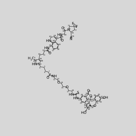 CN1NN(CCCCC(=O)NCCOCCOCCNC(=S)Nc2ccc3c(c2)C(=O)OC32c3ccc(O)cc3Oc3cc(O)ccc32)C=C1CCCC(=O)Nc1cccc2c1NCC=C2C(=O)NCC(=O)N1CC(F)(F)CC1C#N